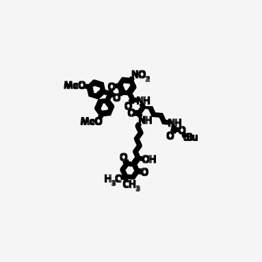 COc1ccc(C2(c3ccc(OC)cc3)Oc3cc([N+](=O)[O-])cc(C(=O)N[C@@H](CCCCNC(=O)OC(C)(C)C)C(=O)NCCCCCC(O)=C4C(=O)CC(C)(C)CC4=O)c3O2)cc1